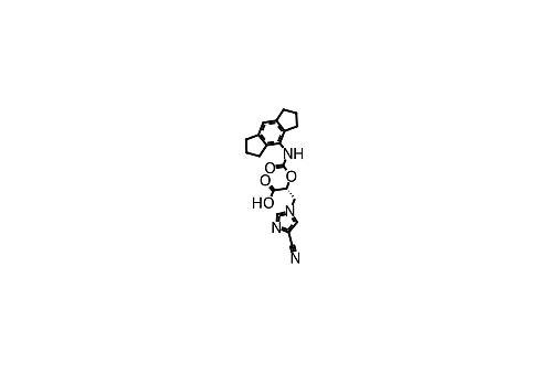 N#Cc1cn(C[C@@H](OC(=O)Nc2c3c(cc4c2CCC4)CCC3)C(=O)O)cn1